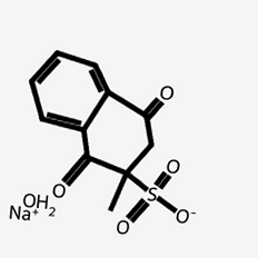 CC1(S(=O)(=O)[O-])CC(=O)c2ccccc2C1=O.O.[Na+]